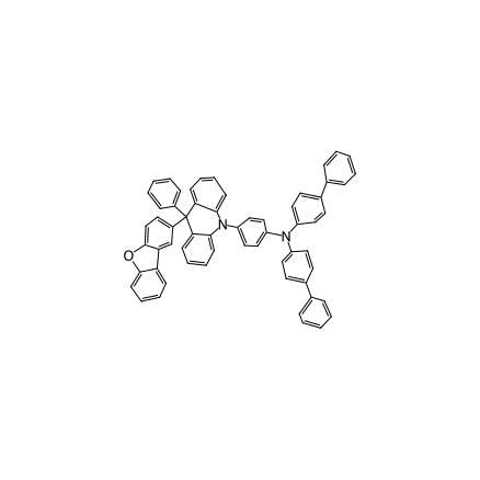 c1ccc(-c2ccc(N(c3ccc(-c4ccccc4)cc3)c3ccc(N4c5ccccc5C(c5ccccc5)(c5ccc6oc7ccccc7c6c5)c5ccccc54)cc3)cc2)cc1